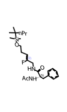 CCCC(C)(C)[Si](C)(C)OCC/C=C(\F)CNC(=O)[C@H](Cc1ccccc1)NC(C)=O